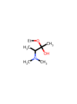 CCOC(C)(O)C(C)N(C)C